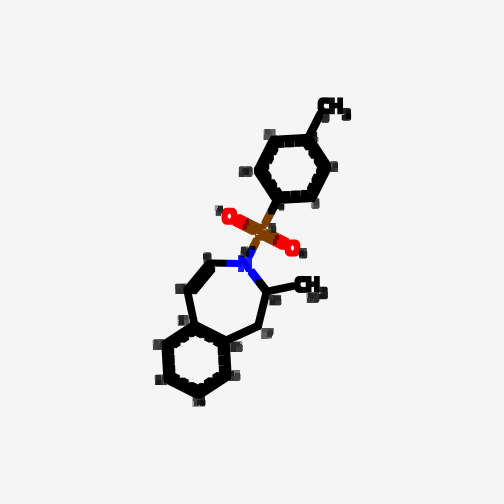 Cc1ccc(S(=O)(=O)N2C=Cc3ccccc3CC2C)cc1